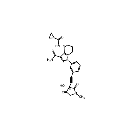 CN1CC(=O)[C@@](O)(C#Cc2cccc(-n3nc(C(N)=O)c4c3CCC[C@H]4NC(=O)C3CC3)c2)C1=O